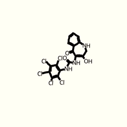 O=C(NC1=C(O)CNc2ccccc2C1=O)Nc1c(Cl)c(Cl)c(Cl)c(Cl)c1Cl